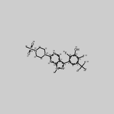 Cn1nc(-c2cc(C(F)(F)F)c(F)c(O)c2F)c2cnc(N3CCN(S(C)(=O)=O)CC3)nc21